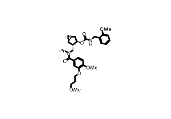 COCCCOc1cc(C(=O)N(C[C@@H]2CNC[C@H]2OC(=O)NCc2ccccc2OC)C(C)C)ccc1OC